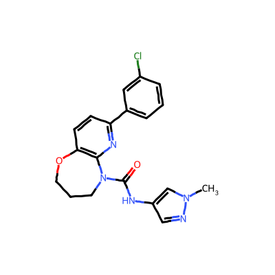 Cn1cc(NC(=O)N2CCCOc3ccc(-c4cccc(Cl)c4)nc32)cn1